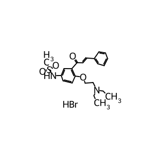 Br.CCN(CC)CCOc1ccc(NS(C)(=O)=O)cc1C(=O)C=Cc1ccccc1